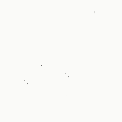 Oc1ccc(CCNc2ncnc3c(F)ccc(F)c23)cc1